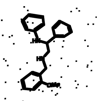 COc1ccccc1CNCC(Nc1ccccc1)c1ccccc1